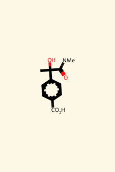 CNC(=O)C(C)(O)c1ccc(C(=O)O)cc1